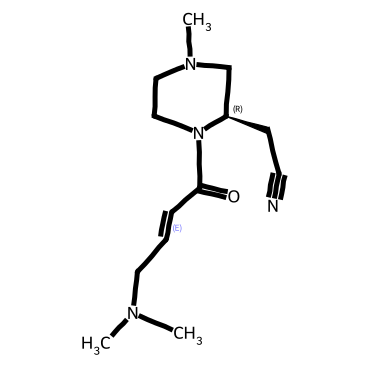 CN(C)C/C=C/C(=O)N1CCN(C)C[C@H]1CC#N